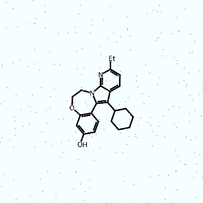 CCc1ccc2c(C3CCCCC3)c3n(c2n1)CCOc1cc(O)ccc1-3